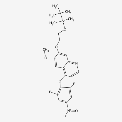 COc1cc2c(Oc3c(F)cc([N+](=O)[O-])cc3F)ccnc2cc1OCCO[Si](C)(C)C(C)(C)C